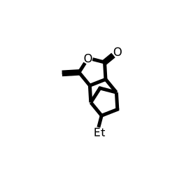 C=C1OC(=O)C2C3CC(CC)C(C3)C12